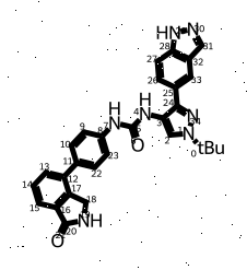 CC(C)(C)n1cc(NC(=O)Nc2ccc(-c3cccc4c3CNC4=O)cc2)c(-c2ccc3[nH]ncc3c2)n1